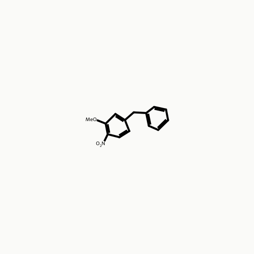 COc1cc(Cc2ccccc2)ccc1[N+](=O)[O-]